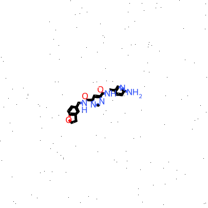 Nc1ccc(CNC(=O)c2cc(C(=O)NCc3ccc4c(c3)CCO4)ncn2)cn1